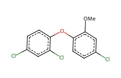 COc1cc(Cl)ccc1Oc1ccc(Cl)cc1Cl